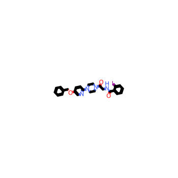 O=C(NCC(=O)N1CCN(c2ccc(OCc3ccccc3)cn2)CC1)c1ccccc1I